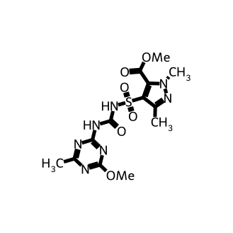 COC(=O)c1c(S(=O)(=O)NC(=O)Nc2nc(C)nc(OC)n2)c(C)nn1C